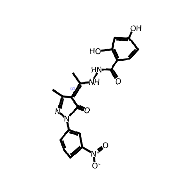 CC1=NN(c2cccc([N+](=O)[O-])c2)C(=O)/C1=C(/C)NNC(=O)c1ccc(O)cc1O